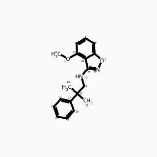 COc1cccc2onc(NCC(C)(C)c3ccccc3)c12